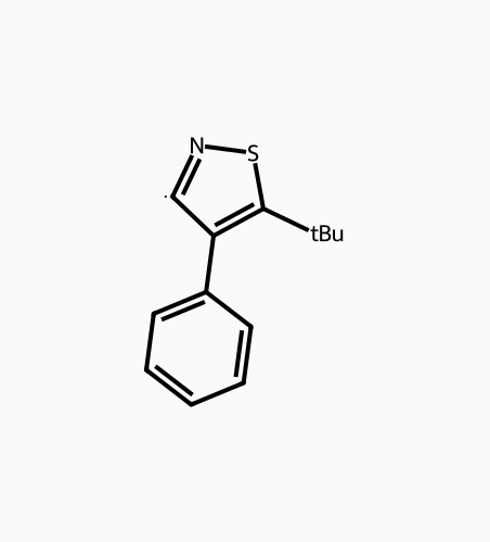 CC(C)(C)c1sn[c]c1-c1ccccc1